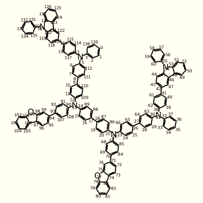 c1ccc(N(c2ccc(-c3ccc(N(c4ccc(-c5ccc(N(c6ccc(-c7ccc(N(c8ccccc8)c8ccc(-c9ccc%10c(c9)c9ccccc9n%10-c9ccccc9)cc8)cc7)cc6)c6ccc(-c7ccc8c(c7)oc7ccccc78)cc6)cc5)cc4)c4ccc(-c5ccc6c(c5)oc5ccccc56)cc4)cc3)cc2)c2ccc(-c3ccc4c(c3)c3ccccc3n4-c3ccccc3)cc2)cc1